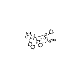 CC(C)(C)OC(=O)CCc1ccccc1C(=O)N[C@@H](CCCC(=O)OCc1ccccc1)C(=O)O[C@H](CC(N)=O)Cc1ccc2ccccc2c1